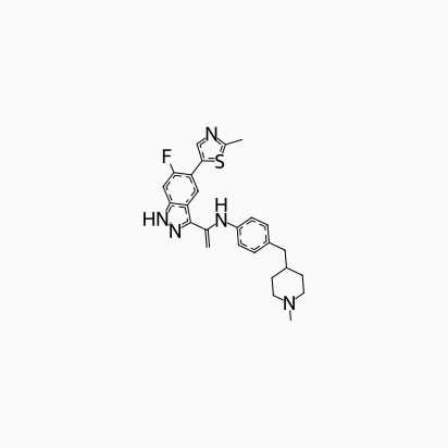 C=C(Nc1ccc(CC2CCN(C)CC2)cc1)c1n[nH]c2cc(F)c(-c3cnc(C)s3)cc12